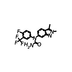 Cc1c2ccc(N(C(N)=O)c3ccc(F)c(C(F)(F)F)c3)cc2nn1C